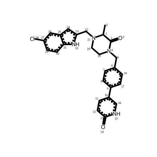 CC1C(=O)N(Cc2ccc(-c3ccc(=O)[nH]c3)cc2)CCN1Cc1cc2cc(Cl)ccc2[nH]1